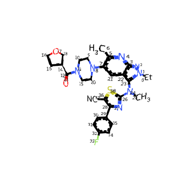 CCn1nc2nc(C)c(N3CCN(C(=O)[C@H]4CCOC4)CC3)cc2c1N(C)c1nc(-c2ccc(F)cc2)c(C#N)s1